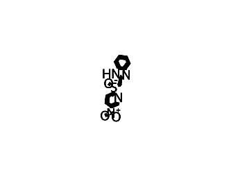 O=[N+]([O-])c1ccc([S+]([O-])Cc2nc3ccccc3[nH]2)nc1